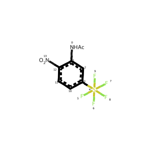 CC(=O)Nc1cc(S(F)(F)(F)(F)F)ccc1[N+](=O)[O-]